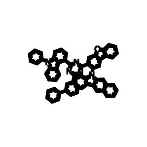 c1ccc(-c2cccc(-c3nc(-c4cc5oc6ccccc6c5cc4-n4c5ccccc5c5cc6ccccc6cc54)nc(-c4cccc5c4c4ccccc4n5-c4ccccc4)n3)c2)cc1